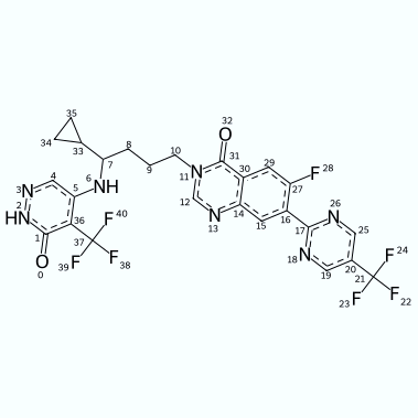 O=c1[nH]ncc(NC(CCCn2cnc3cc(-c4ncc(C(F)(F)F)cn4)c(F)cc3c2=O)C2CC2)c1C(F)(F)F